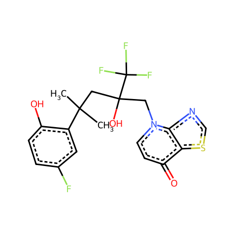 CC(C)(CC(O)(Cn1ccc(=O)c2scnc21)C(F)(F)F)c1cc(F)ccc1O